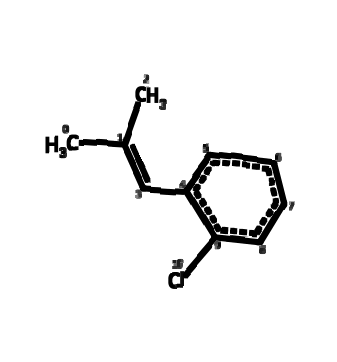 CC(C)=Cc1ccccc1Cl